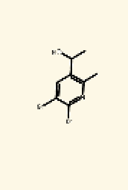 Cc1nc(Br)c(Br)cc1C(C)O